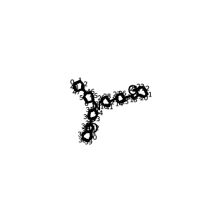 c1ccc(-c2ccc(N(c3ccc(-c4ccc(-c5cc6ccccc6o5)cc4)cc3)c3ccc(-c4cc5ccccc5o4)cc3)cc2)cc1